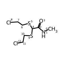 CNC(=O)C(SCCCl)SCCCl